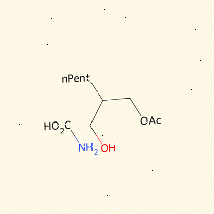 CCCCCC(CO)COC(C)=O.NC(=O)O